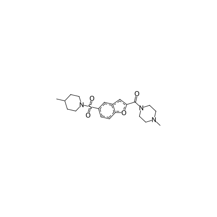 CC1CCN(S(=O)(=O)c2ccc3oc(C(=O)N4CCN(C)CC4)cc3c2)CC1